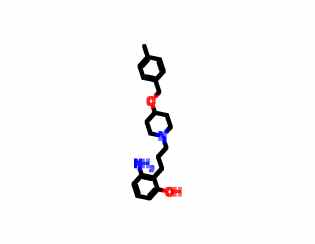 Cc1ccc(COC2CCN(CCCc3c(N)cccc3O)CC2)cc1